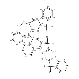 CC1(C)c2ccccc2-c2cc3c(cc21)-c1c(cc(N2c4ccccc4CCc4cc5c(cc42)C(C)(C)c2ccccc2-5)c2ccccc12)C3(C)C